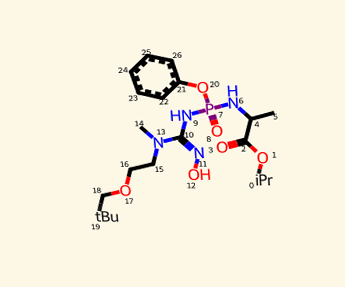 CC(C)OC(=O)C(C)NP(=O)(N/C(=N/O)N(C)CCOCC(C)(C)C)Oc1ccccc1